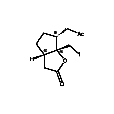 CC(=O)C[C@H]1CC[C@H]2CC(=O)O[C@@]12CI